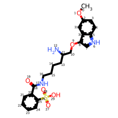 COc1ccc2[nH]cc(OCC(N)CCCCNC(=O)c3ccccc3S(=O)(=O)O)c2c1